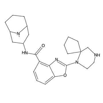 CN1C2CCCC1CC(NC(=O)c1cccc3oc(N4CCNCC45CCCC5)nc13)C2